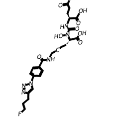 O=C(O)CC[C@H](NC(=O)N(O)[C@@H](CCCCNC(=O)c1ccc(-n2cc(CCCF)nn2)cc1)C(=O)O)C(=O)O